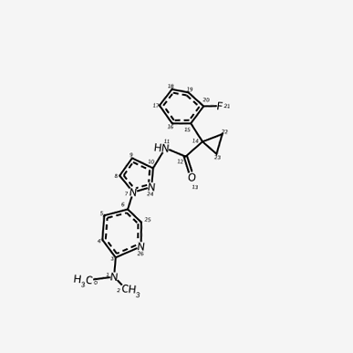 CN(C)c1ccc(-n2ccc(NC(=O)C3(c4ccccc4F)CC3)n2)cn1